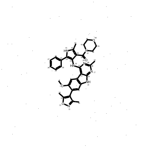 COc1cc2c(cc1-c1c(C)noc1C)[nH]c1nc(C)nc(Nc3c(-c4ccccc4)[nH]c(C)c3C(=O)N3CCOCC3)c12